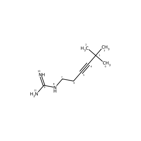 CC(C)(C)C#CCCNC(=N)N